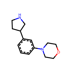 c1cc(C2CCNC2)cc(N2CCOCC2)c1